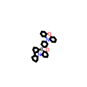 c1ccc2c(c1)Oc1ccccc1N2c1ccc2c(c1)Oc1cccc3c1B2c1cccc2c4ccccc4n-3c12